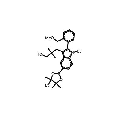 CCn1c(-c2ccccc2COC)c(CC(C)(C)CO)c2cc(B3OC(C)(C)C(C)(CC)O3)ccc21